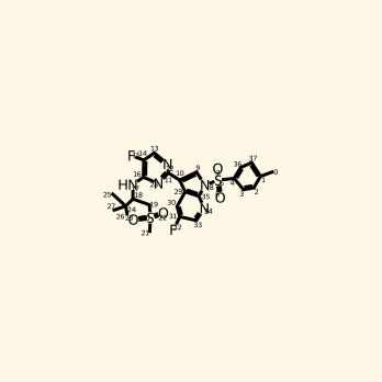 Cc1ccc(S(=O)(=O)n2cc(-c3ncc(F)c(NC(CS(C)(=O)=O)C(C)(C)C)n3)c3cc(F)cnc32)cc1